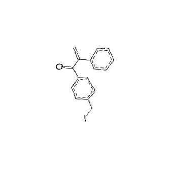 C=C(C(=O)c1ccc(CI)cc1)c1ccccc1